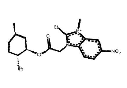 CCc1n(CC(=O)O[C@@H]2C[C@H](C)CC[C@H]2C(C)C)c2ccc([N+](=O)[O-])cc2[n+]1C